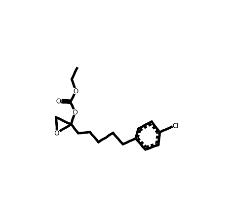 CCOC(=O)OC1(CCCCCc2ccc(Cl)cc2)CO1